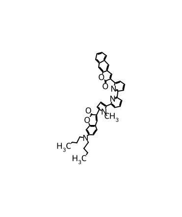 CCCCN(CCCC)c1ccc2cc(-c3ccc(-c4cccc(-c5cccc(-c6cc7cc8ccccc8cc7oc6=O)n5)n4)n3C)c(=O)oc2c1